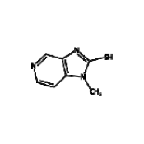 Cn1c(S)nc2cnccc21